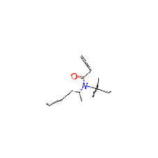 C=CC(=O)N(C(C)CCC)C(C)(C)C